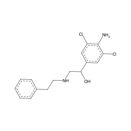 Nc1c(Cl)cc(C(O)CNCCc2ccccc2)cc1Cl